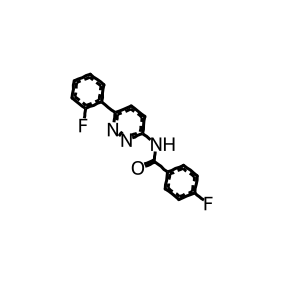 O=C(Nc1ccc(-c2ccccc2F)nn1)c1ccc(F)cc1